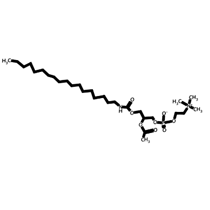 CCCCCCCCCCCCCCCCCCNC(=O)OCC(COP(=O)([O-])OCC[N+](C)(C)C)OC(C)=O